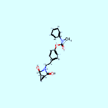 CN(C(=O)Oc1ccc(CCN2C(=O)C3=CC3C2=O)cc1)c1ccccc1